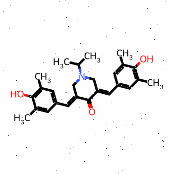 Cc1cc(C=C2CN(C(C)C)CC(=Cc3cc(C)c(O)c(C)c3)C2=O)cc(C)c1O